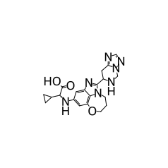 O=C(O)[C@@H](Nc1cc2c3c(c1)nc(C1Cc4ncnn4CN1)n3CCCO2)C1CC1